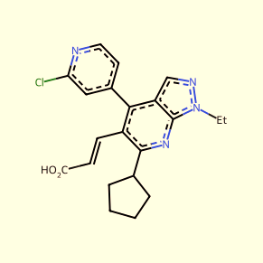 CCn1ncc2c(-c3ccnc(Cl)c3)c(C=CC(=O)O)c(C3CCCC3)nc21